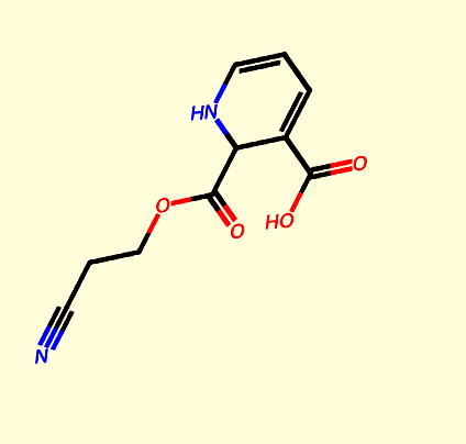 N#CCCOC(=O)C1NC=CC=C1C(=O)O